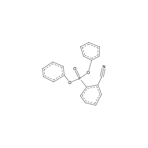 N#Cc1ccccc1P(=O)(Oc1ccccc1)Oc1ccccc1